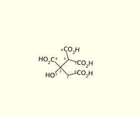 O=C(O)CC(O)(C(=O)O)C(C(=O)O)C(=O)O